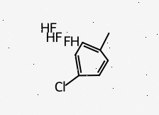 Cc1ccc(Cl)cc1.F.F.F